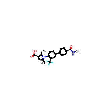 CNC(=O)c1ccc(-c2ccc(-n3c(C)cc(C(=O)O)c3C)c(C(F)(F)F)c2)cc1